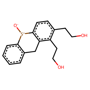 [O-][S+]1c2ccccc2Cc2c1ccc(CCO)c2CCO